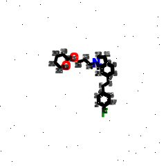 Fc1ccc(CCc2ccc3ccn(CCCOC4CCCCO4)c3c2)cc1